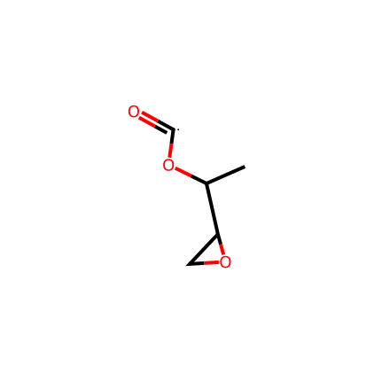 CC(O[C]=O)C1CO1